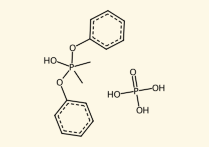 CP(C)(O)(Oc1ccccc1)Oc1ccccc1.O=P(O)(O)O